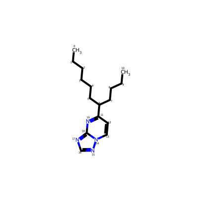 CCCCCCC(CCCC)c1ccn2ncnc2n1